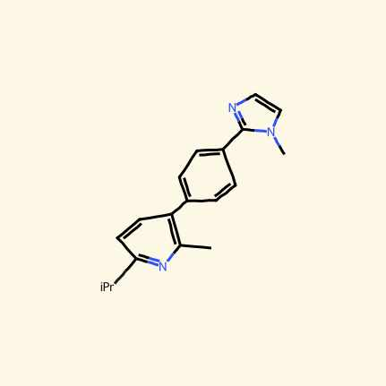 Cc1nc(C(C)C)ccc1-c1ccc(-c2nccn2C)cc1